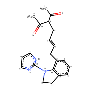 COC(=O)C(C/C=C/Cc1cccc2c1N(c1ncccn1)CC2)C(=O)OC